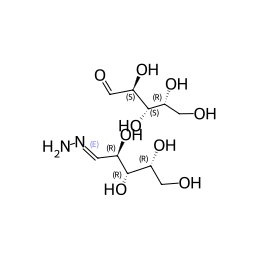 N/N=C/[C@@H](O)[C@@H](O)[C@H](O)CO.O=C[C@@H](O)[C@@H](O)[C@H](O)CO